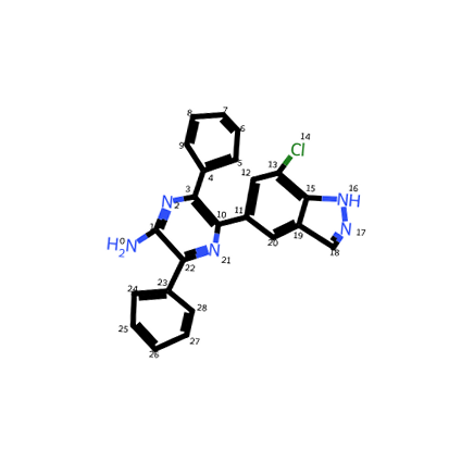 Nc1nc(-c2ccccc2)c(-c2cc(Cl)c3[nH]ncc3c2)nc1-c1ccccc1